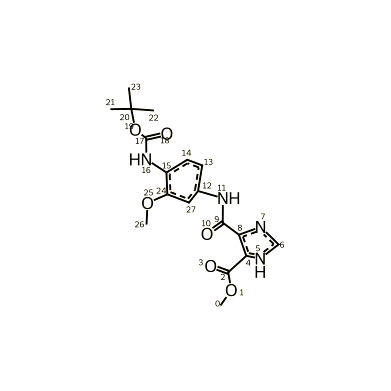 COC(=O)c1[nH]cnc1C(=O)Nc1ccc(NC(=O)OC(C)(C)C)c(OC)c1